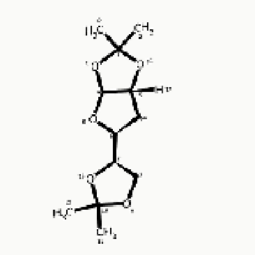 CC1(C)OC2O[C@H]([C@H]3COC(C)(C)O3)C[C@H]2O1